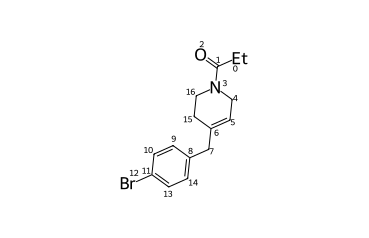 CCC(=O)N1CC=C(Cc2ccc(Br)cc2)CC1